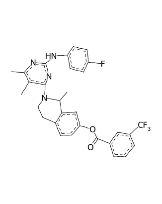 Cc1nc(Nc2ccc(F)cc2)nc(N2CCc3ccc(OC(=O)c4cccc(C(F)(F)F)c4)cc3C2C)c1C